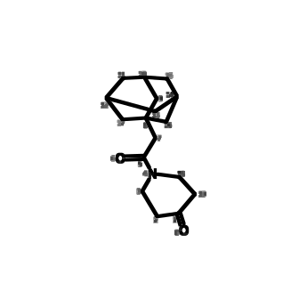 O=C1CCN(C(=O)CC23CC4CC(CC(C4)C2)C3)CC1